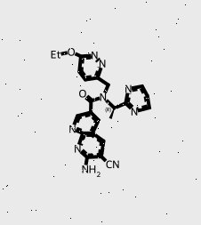 CCOc1ccc(CN(C(=O)c2cnc3nc(N)c(C#N)cc3c2)[C@H](C)c2ncccn2)nn1